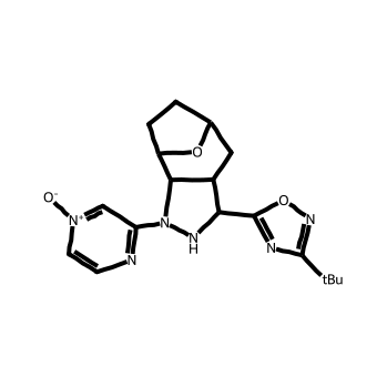 CC(C)(C)c1noc(C2NN(c3c[n+]([O-])ccn3)C3C4CCC(CC23)O4)n1